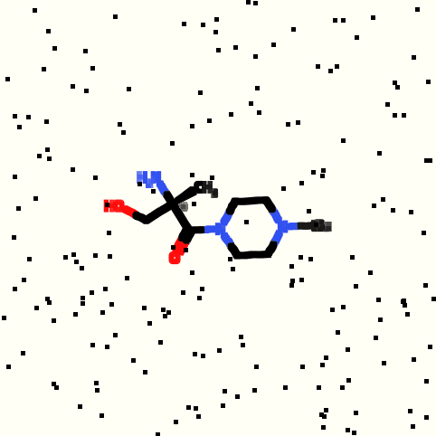 CC(C)(C)N1CCN(C(=O)[C@@](C)(N)CO)CC1